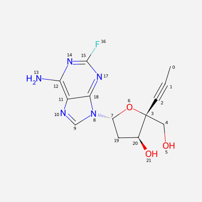 CC#C[C@]1(CO)O[C@@H](n2cnc3c(N)nc(F)nc32)C[C@@H]1O